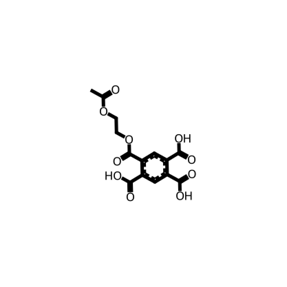 CC(=O)OCCOC(=O)c1cc(C(=O)O)c(C(=O)O)cc1C(=O)O